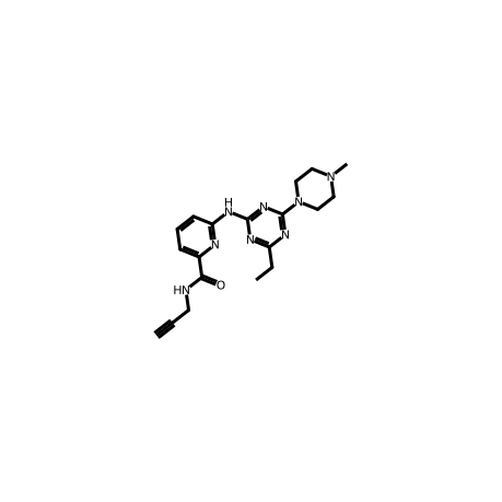 C#CCNC(=O)c1cccc(Nc2nc(CC)nc(N3CCN(C)CC3)n2)n1